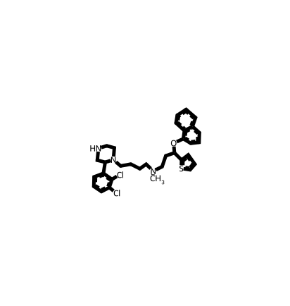 CN(CCCCN1CCNCC1c1cccc(Cl)c1Cl)CCC(Oc1cccc2ccccc12)c1cccs1